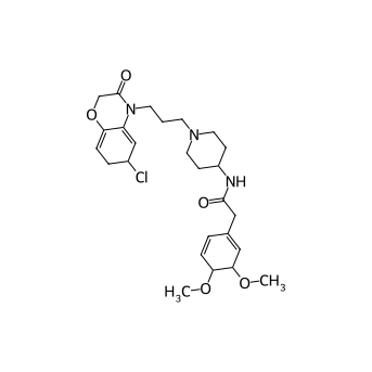 COC1C=CC(CC(=O)NC2CCN(CCCN3C(=O)COC4=CCC(Cl)C=C43)CC2)=CC1OC